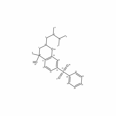 C[C](C)C(C)CC1CC(C)(O)c2ccc(S(=O)(=O)c3ccccc3)cc2O1